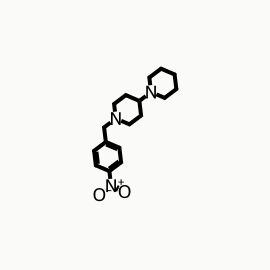 O=[N+]([O-])c1ccc(CN2CCC(N3CCCCC3)CC2)cc1